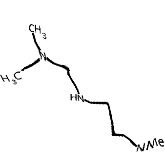 CNCCNCN(C)C